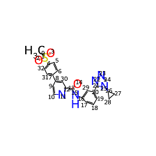 CS(=O)(=O)c1ccc(-c2ccnc(C(=O)Nc3cccc(-c4nncn4C4CC4)c3)c2)cc1